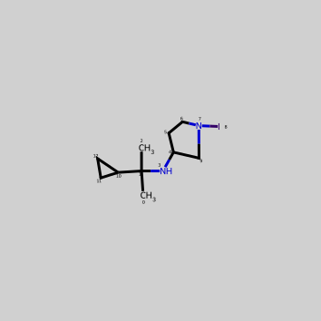 CC(C)(NC1CCN(I)C1)C1CC1